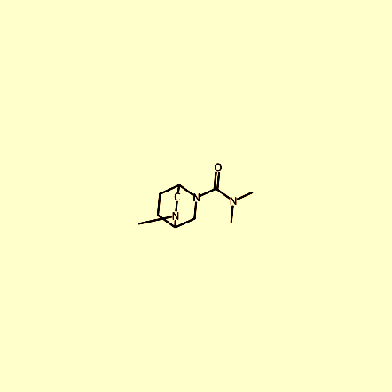 CN(C)C(=O)N1CC2CCC1CN2C